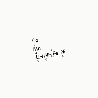 [AlH3].[Co].[Fe].[LiH].[Mn].[Ni]